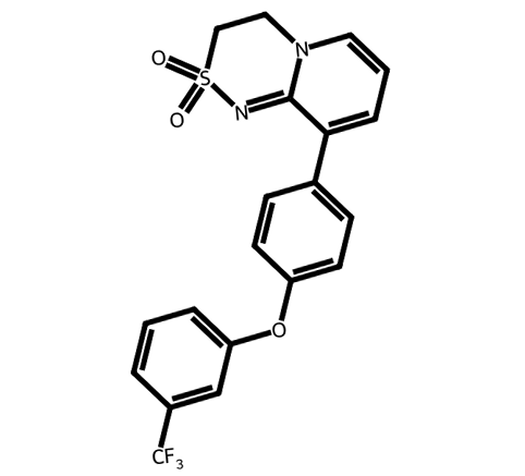 O=S1(=O)CCN2C=CC=C(c3ccc(Oc4cccc(C(F)(F)F)c4)cc3)C2=N1